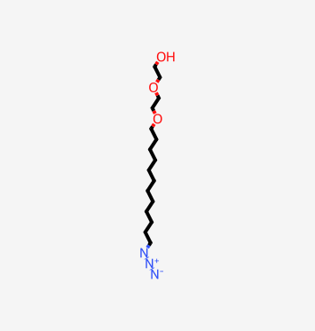 [N-]=[N+]=NCCCCCCCCCCCCOCCOCCO